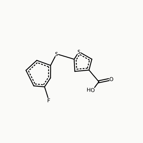 O=C(O)c1csc(Sc2cccc(F)c2)c1